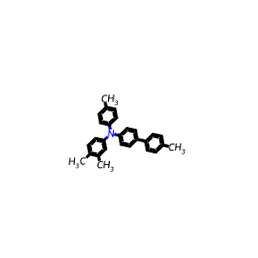 Cc1ccc(-c2ccc(N(c3ccc(C)cc3)c3ccc(C)c(C)c3)cc2)cc1